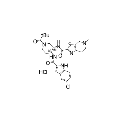 CN1CCc2nc(C(=O)N[C@@H]3CN(C(=O)C(C)(C)C)CC[C@@H]3NC(=O)c3cc4cc(Cl)ccc4[nH]3)sc2C1.Cl